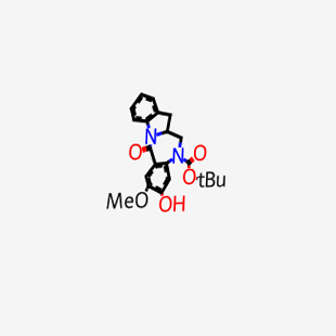 COc1cc2c(cc1O)N(C(=O)OC(C)(C)C)CC1Cc3ccccc3N1C2=O